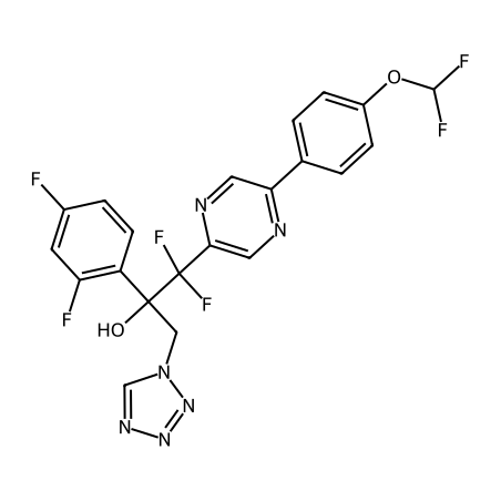 OC(Cn1cnnn1)(c1ccc(F)cc1F)C(F)(F)c1cnc(-c2ccc(OC(F)F)cc2)cn1